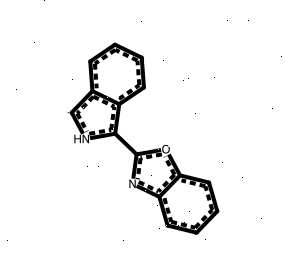 [c]1[nH]c(-c2nc3ccccc3o2)c2ccccc12